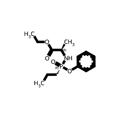 CCC[P@](=O)(N[C@H](C)C(=O)OCC)Oc1ccccc1